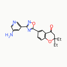 CCC1(CC)CC(=O)c2cc(-c3nc(-c4cncc(N)c4)no3)ccc2O1